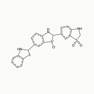 O=S1(=O)CNc2ccc(C3Nc4ccc(C5Nc6ccccc6S5)cc4[S+]3[O-])cc21